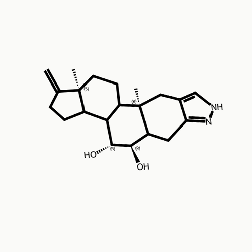 C=C1CCC2C3C(CC[C@]12C)[C@@]1(C)Cc2c[nH]nc2CC1[C@@H](O)[C@@H]3O